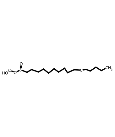 CCCCCCCCCCCCCCCCS(=O)OOO